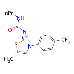 CCCNC(=O)/N=c1\sc(C)cn1-c1ccc(C(F)(F)F)cc1